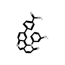 NC(=O)c1ccc(-c2ccc3ncc4ccc(=O)n(-c5cccc(C(F)(F)F)c5)c4c3c2)cc1